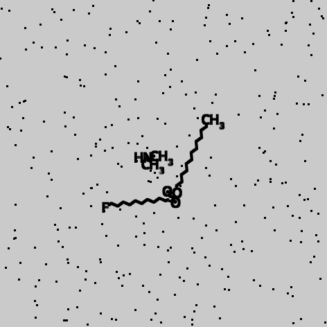 CCCCCCCCCCCCCOS(=O)(=O)CCCCCCCCCCF.CNC